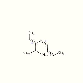 C\C=C/C=N\C(=C/C)C(CCCCCC)CCCCCC